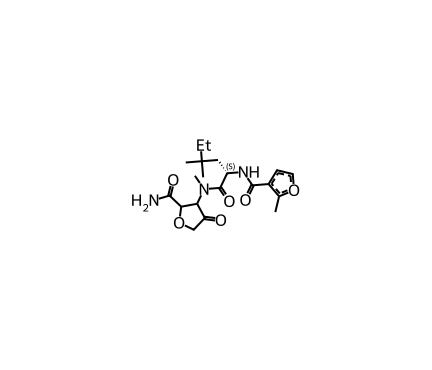 CCC(C)(C)C[C@H](NC(=O)c1ccoc1C)C(=O)N(C)C1C(=O)COC1C(N)=O